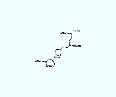 CCCCCCCCCN(CCCCCCCCC)CCN(CCCCCCCCC)CCN1CC2CC1CN2C(=O)CN(CCCCCCCCC)CCCCCCCCC